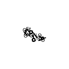 CCN1C(=O)C(C)(C)C(=O)N(C)c2cc(CN(CCn3ccc4oc(C)cc4c3=O)C(=O)c3ccccc3)ccc21